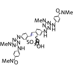 CNC(=O)c1ccc(Nc2nc(NC)nc(Nc3ccc(/C=C/c4ccc(N(C)c5nc(NC)nc(Nc6ccc(C(=O)NC)cc6)n5)cc4S(=O)(=O)O)c(SOOO)c3)n2)cc1